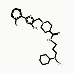 Cc1ccccc1-c1nc(CN2CCC(C(=O)NCCCN(C)C3CCCCC3)CC2)c(C)o1